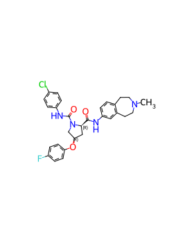 CN1CCc2ccc(NC(=O)[C@H]3C[C@@H](Oc4ccc(F)cc4)CN3C(=O)Nc3ccc(Cl)cc3)cc2CC1